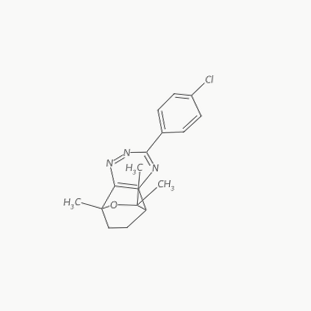 CC12CCC(c3nc(-c4ccc(Cl)cc4)nnc31)C(C)(C)O2